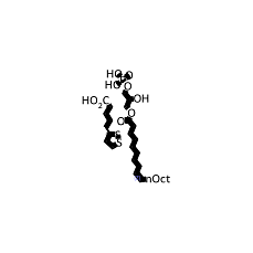 CCCCCCCC/C=C\CCCCCCCC(=O)OCC(O)COP(=O)(O)O.O=C(O)CCCC[C@@H]1CCSS1